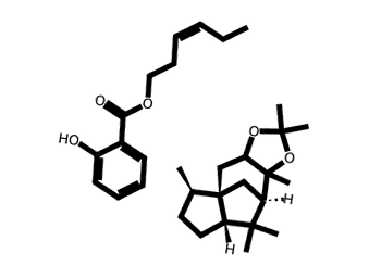 CC/C=C\CCOC(=O)c1ccccc1O.C[C@@H]1CC[C@H]2C(C)(C)[C@H]3C[C@@]12CC1OC(C)(C)OC13C